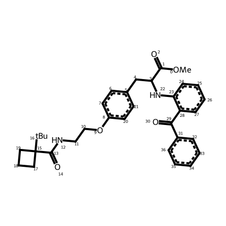 COC(=O)C(Cc1ccc(OCCNC(=O)C2(C(C)(C)C)CCC2)cc1)Nc1ccccc1C(=O)c1ccccc1